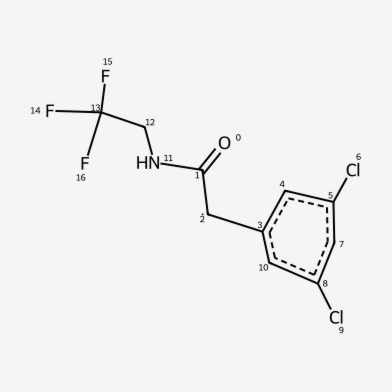 O=C([CH]c1cc(Cl)cc(Cl)c1)NCC(F)(F)F